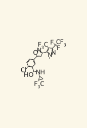 Cn1nc(C(F)(F)C(F)(F)F)c(C(F)(F)F)c1-c1cc(-c2ccc(Cl)c([C@H](O)N[C@H]3C[C@@H]3C(F)(F)F)c2)on1